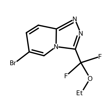 CCOC(F)(F)c1nnc2ccc(Br)cn12